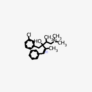 C/C(=C/c1ccccc1)C(O)(Cc1cccc(Cl)c1)C(C)CN(C)C